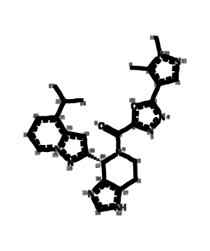 Cc1c(-c2nnc(C(=O)N3CCc4[nH]cnc4[C@@H]3c3cc4c(C(C)C)cccn4n3)o2)cnn1C